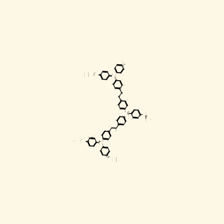 CCOc1ccc(N(c2ccc(CCc3ccc(N(c4ccc(C)cc4)c4ccc(C)cc4)cc3)cc2)c2ccc(CCc3ccc(N(c4ccc(C)cc4)c4ccc(C)cc4)cc3)cc2)cc1